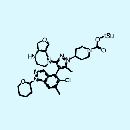 Cc1cc2c(cnn2C2CCCCO2)c(-c2c(N3CCNC4COCC43)nn(C3CCN(C(=O)OC(C)(C)C)CC3)c2C)c1Cl